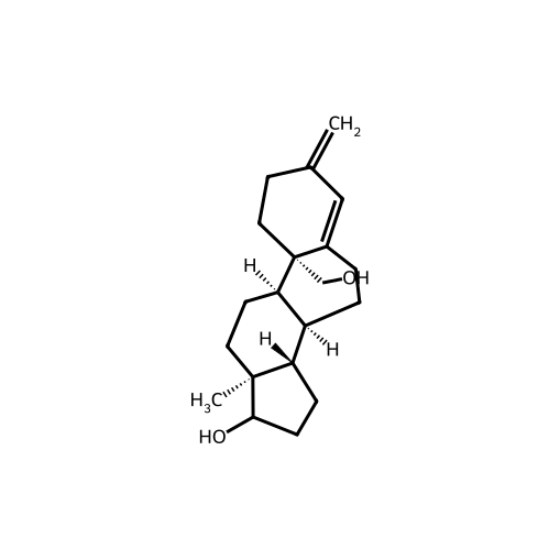 C=C1C=C2CC[C@@H]3[C@@H](CC[C@]4(C)C(O)CC[C@@H]34)[C@@]2(CO)CC1